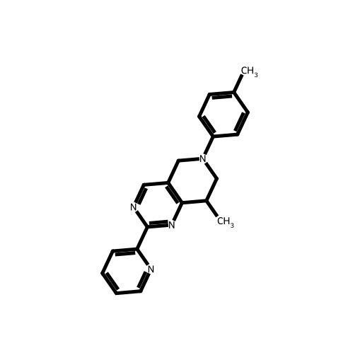 Cc1ccc(N2Cc3cnc(-c4ccccn4)nc3C(C)C2)cc1